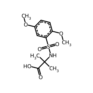 COc1ccc(OC)c(S(=O)(=O)NC(C)(C)C(=O)O)c1